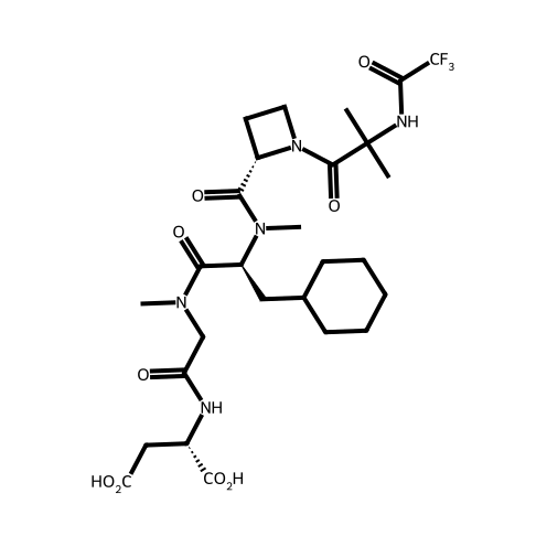 CN(CC(=O)N[C@@H](CC(=O)O)C(=O)O)C(=O)[C@H](CC1CCCCC1)N(C)C(=O)[C@@H]1CCN1C(=O)C(C)(C)NC(=O)C(F)(F)F